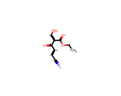 CCOC(=O)/C(=C\O)C(=O)C=CC#N